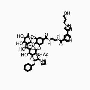 CCC1CC(C(=O)NCCNC(=O)c2cncc(-c3cn(CCCO)nn3)c2)C[C@@H](O[C@@H]2OC(CO)[C@H](O)C(O[C@@H](CC3CCCCC3)C(=O)N3CCC3)C2NC(C)=O)C1O[C@@H]1OC(C)[C@@H](O)C(O)C1O